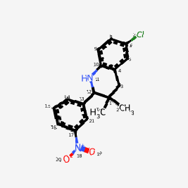 CC1(C)Cc2cc(Cl)ccc2NC1c1cccc([N+](=O)[O-])c1